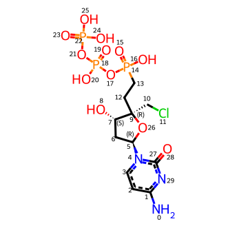 Nc1ccn([C@H]2C[C@H](O)[C@@](CCl)(CCP(=O)(O)OP(=O)(O)OP(=O)(O)O)O2)c(=O)n1